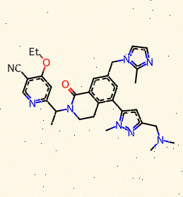 CCOc1cc(C(C)N2CCc3c(cc(Cn4ccnc4C)cc3-c3cc(CN(C)C)nn3C)C2=O)ncc1C#N